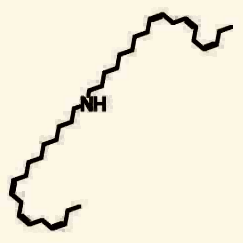 CC/C=C\C/C=C\C/C=C\CCCCCCCCNCCCCCCCC/C=C\C/C=C\C/C=C\CC